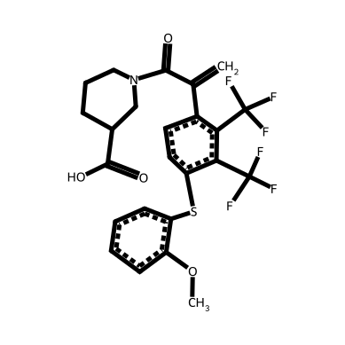 C=C(C(=O)N1CCCC(C(=O)O)C1)c1ccc(Sc2ccccc2OC)c(C(F)(F)F)c1C(F)(F)F